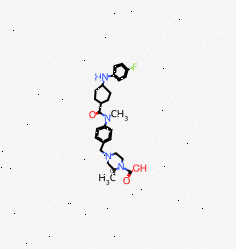 C[C@H]1CN(Cc2ccc(N(C)C(=O)C3CCC(Nc4ccc(F)cc4)CC3)cc2)CCN1C(=O)O